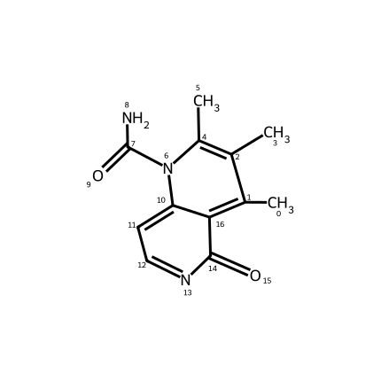 Cc1c(C)c(C)n(C(N)=O)c2ccnc(=O)c1-2